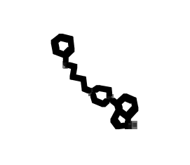 c1ccc(SCCCCN2CCN(c3cccc4[nH]ccc34)CC2)cc1